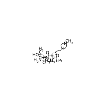 CCCC(=O)N(C)[C@H](CSCCN1CCN(C)CC1)C(=O)N(C)[C@@H](CC(C)(C)O)C(N)=O